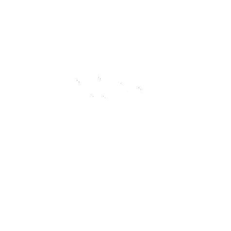 CCOCCC(C)NC(=O)Nc1nc2nccc(-c3ccc4c(c3)OCO4)n2n1